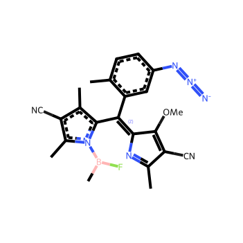 COC1=C(C#N)C(C)=N/C1=C(/c1cc(N=[N+]=[N-])ccc1C)c1c(C)c(C#N)c(C)n1B(C)F